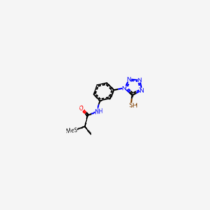 CSC(C)C(=O)Nc1cccc(-n2nnnc2S)c1